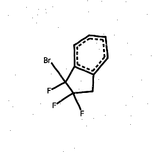 FC1(F)Cc2ccccc2C1(F)Br